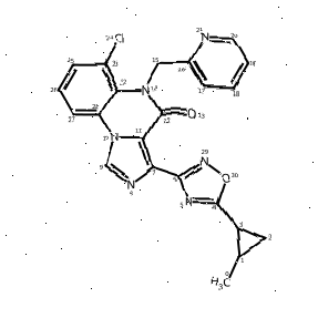 CC1CC1c1nc(-c2ncn3c2c(=O)n(Cc2ccccn2)c2c(Cl)cccc23)no1